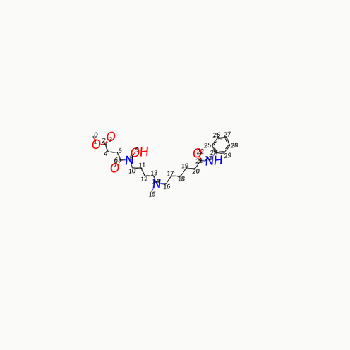 COC(=O)CCC(=O)N(O)CCCCN(C)CCCCCC(=O)Nc1ccccc1